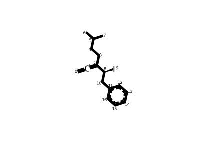 C=C=C(CCC(C)C)[C@@H](I)Cc1ccccc1